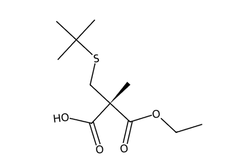 CCOC(=O)[C@@](C)(CSC(C)(C)C)C(=O)O